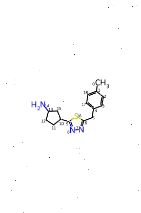 Cc1ccc(Cc2nnc(C3CCC(N)C3)s2)cc1